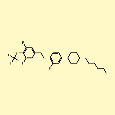 CCCCCCC1CCC(c2ccc(CCc3cc(F)c(OC(F)(F)F)c(F)c3)c(F)c2)CC1